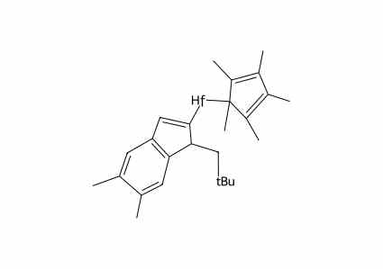 CC1=C(C)[C](C)([Hf][C]2=Cc3cc(C)c(C)cc3C2CC(C)(C)C)C(C)=C1C